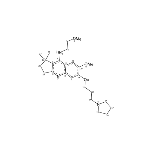 COCCNc1c2c(nc3cc(OCCCN4CCCC4)c(OC)cc13)CCC2(C)C